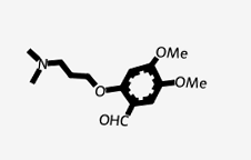 COc1cc(C=O)c(OCCCN(C)C)cc1OC